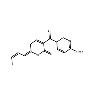 C/C=C\C=C1/CC=C(C(=O)C2C=CC(OC)=NC2)C(=O)O1